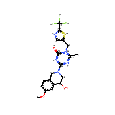 COc1ccc2c(c1)C(O)CN(c1nc(C)n(Cc3cnc(C(F)(F)F)s3)c(=O)n1)C2